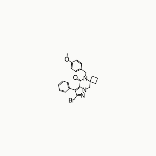 COc1ccc(CN2C(=O)c3c(-c4ccccc4)c(Br)nn3CC23CCC3)cc1